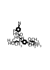 CCC(C)(C)C(=O)N(C)c1ccc2c(c1)nc(NC(=O)Nc1ccc(C#N)cc1F)n2CCC(C)(C)O